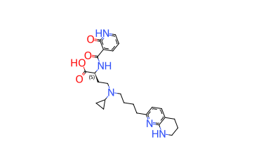 O=C(N[C@@H](CCN(CCCCc1ccc2c(n1)NCCC2)C1CC1)C(=O)O)c1ccc[nH]c1=O